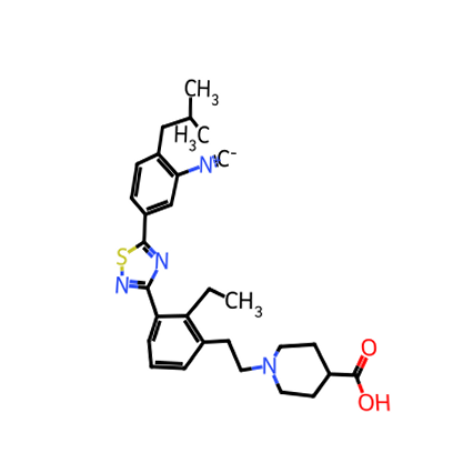 [C-]#[N+]c1cc(-c2nc(-c3cccc(CCN4CCC(C(=O)O)CC4)c3CC)ns2)ccc1CC(C)C